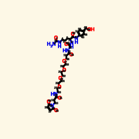 NC(=O)NCCCC(NC(=O)CNC(=O)CCOCCOCCOCCOCCNC(=O)CCN1C(=O)C=CC1=O)C(=O)Nc1ccc(CO)cc1